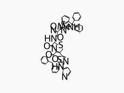 CON=C(C(=O)NC1C(=O)N2C(C(=O)OC(c3ccccc3)c3ccccc3)=C(c3cnc(Nc4cccnc4)s3)CSC12)c1csc(NC(c2ccccc2)(c2ccccc2)c2ccccc2)n1